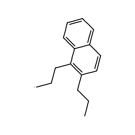 [CH2]CCc1c(CCC)ccc2ccccc12